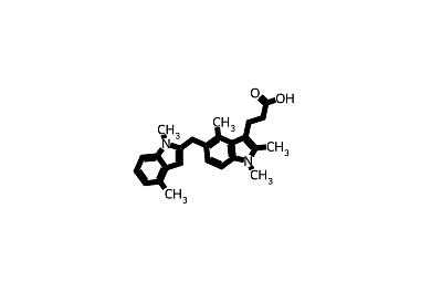 Cc1cccc2c1cc(Cc1ccc3c(c1C)c(CCC(=O)O)c(C)n3C)n2C